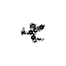 COCCCN1CCOc2ccc(CO[C@H]3CN(S(=O)(=O)c4ccc(C)cc4)C[C@@H](O[Si](C(C)C)(C(C)C)C(C)C)[C@H]3c3ccc(COCC4(COC)CC4)cc3)cc21